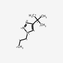 CCCn1cc(C(C)(C)C)nn1